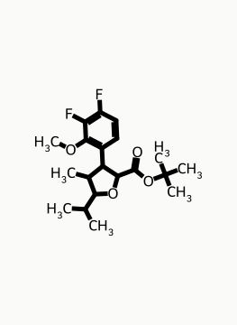 COc1c(C2C(C(=O)OC(C)(C)C)OC(C(C)C)C2C)ccc(F)c1F